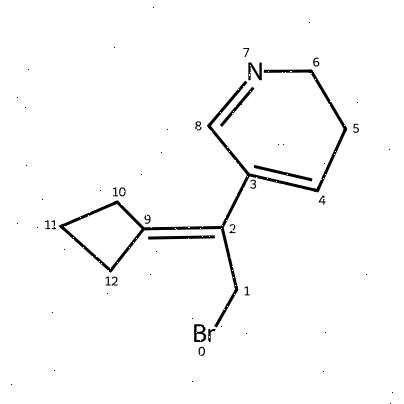 BrCC(C1=CCCN=C1)=C1CCC1